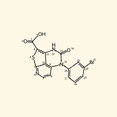 O=C(O)c1sc2nccc3c2c1NC(=O)N3c1cccc(Br)c1